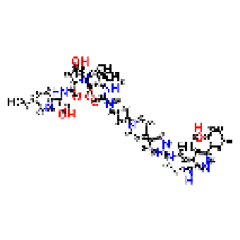 C#Cc1ccc([C@@H](CO)NC(=O)[C@@H]2C[C@@H](O)CN2C(=O)[C@@H](NC(=O)N2CC3(CC(N4CCC(c5cnc(N6CCC7Nc8nnc(-c9ccccc9O)cc8C7[C@H]6C)nc5)CC4)C3)C2)C(C)(C)C)nc1